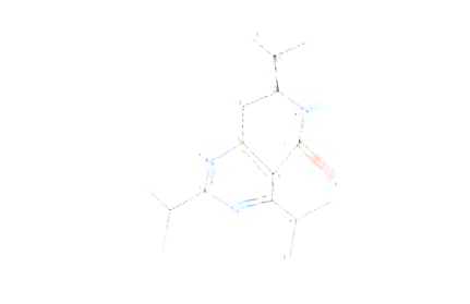 CC(C)c1nc2c(c(C(C)C)n1)C(=O)NC(C(C)C)C2